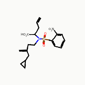 C=CCC(C(=O)O)N(CCC(=C)CC1CC1)S(=O)(=O)c1ccccc1[N+](=O)[O-]